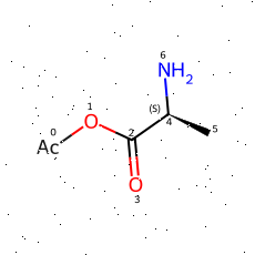 CC(=O)OC(=O)[C@H](C)N